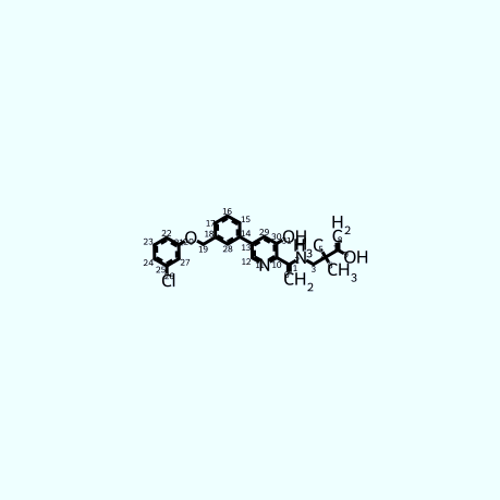 C=C(NCC(C)(C)C(=C)O)c1ncc(-c2cccc(COc3cccc(Cl)c3)c2)cc1O